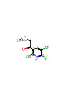 CCOC(=O)CC(=O)c1cc(Cl)c(Cl)nc1Cl